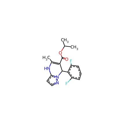 CC1=C(C(=O)OC(C)C)C(c2c(F)cccc2F)n2nccc2N1